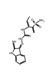 C=C(/C(=C\C)NC(=S)N/N=C1\C(=N)Nc2ccccc21)S(N)(=O)=O